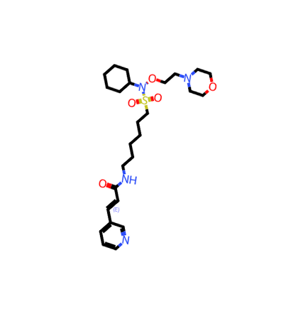 O=C(/C=C/c1cccnc1)NCCCCCCS(=O)(=O)N(OCCN1CCOCC1)C1CCCCC1